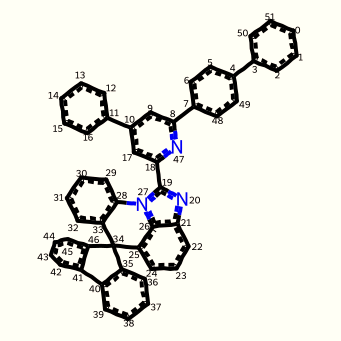 c1ccc(-c2ccc(-c3cc(-c4ccccc4)cc(-c4nc5cccc6c5n4-c4ccccc4C64c5ccccc5-c5ccccc54)n3)cc2)cc1